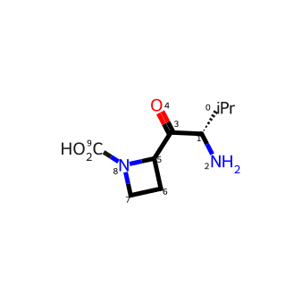 CC(C)[C@H](N)C(=O)C1CCN1C(=O)O